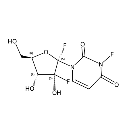 O=c1ccn([C@]2(F)O[C@H](CO)[C@@H](O)[C@]2(O)F)c(=O)n1F